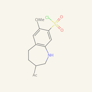 COc1cc2c(cc1S(=O)(=O)Cl)NCC(C(C)=O)CC2